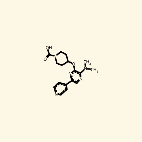 CN(C)c1ncc(-c2ccncc2)nc1OC1CCN(C(=O)O)CC1